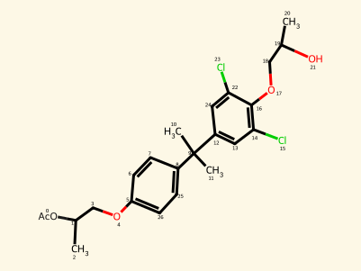 CC(=O)OC(C)COc1ccc(C(C)(C)c2cc(Cl)c(OCC(C)O)c(Cl)c2)cc1